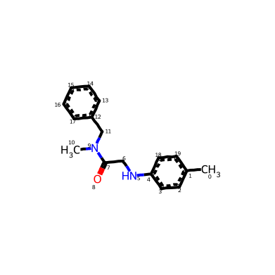 Cc1ccc(NCC(=O)N(C)Cc2ccccc2)cc1